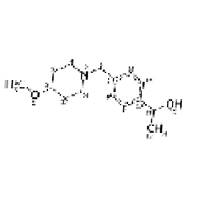 COC1CCN(Cc2ccc(C(C)O)cc2)CC1